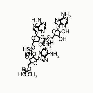 COC1C(COP(C)(=O)O)OC(n2cnc3c(N)ncnc32)C1OP(=O)(S)OCC1OC(n2cnc3c(N)ncnc32)C(OP(=O)(S)OCC2OC(n3cnc4c(N)ncnc43)C(O)C2O)C1OC